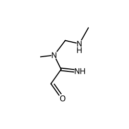 CNCN(C)C(=N)C=O